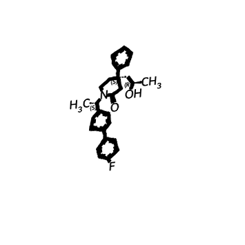 C[C@@H](O)C[C@@]1(c2ccccc2)CCN([C@@H](C)c2ccc(-c3ccc(F)cc3)cc2)C(=O)C1